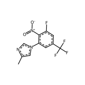 Cc1cn(-c2cc(C(F)(F)F)cc(F)c2[N+](=O)[O-])cn1